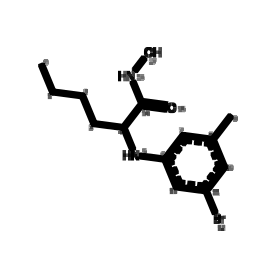 CCCCC(Nc1cc(C)cc(Br)c1)C(=O)NO